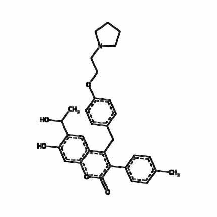 Cc1ccc(-c2c(Cc3ccc(OCCN4CCCC4)cc3)c3cc(C(C)O)c(O)cc3oc2=O)cc1